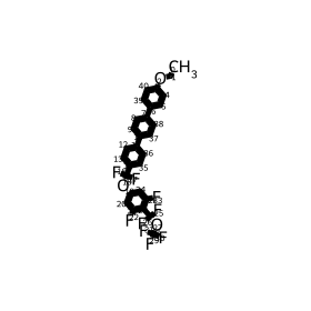 CCOc1ccc(-c2ccc(-c3ccc(C(F)(F)Oc4cc(F)c(C(F)(F)OC(F)(F)F)c(F)c4)cc3)cc2)cc1